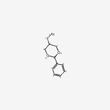 CC(=O)SC1COC(c2ccccc2)OC1